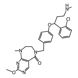 CNCCC(Oc1ccc(CN2CCN(C)c3nc(OC)ncc3C2=O)cc1)c1ccccc1Cl